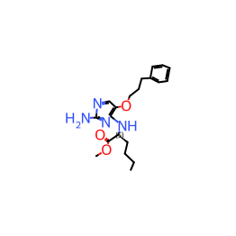 CCCC[C@H](Nc1nc(N)ncc1OCCCc1ccccc1)C(=O)OC